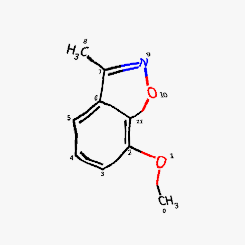 COc1cccc2c(C)noc12